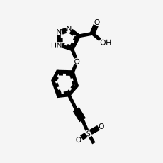 CS(=O)(=O)C#Cc1cccc(Oc2[nH]nnc2C(=O)O)c1